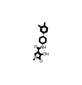 Cc1ccc([C@H]2CC[C@@H](NC(=O)C3=C(O)C(=O)N(C)C3)CC2)cc1C